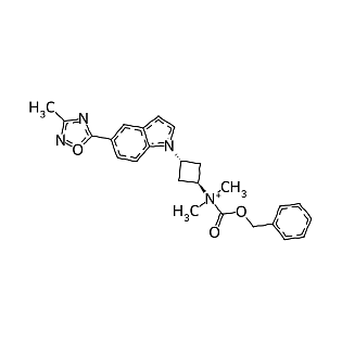 Cc1noc(-c2ccc3c(ccn3[C@H]3C[C@H]([N+](C)(C)C(=O)OCc4ccccc4)C3)c2)n1